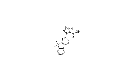 CC1(C)c2ccccc2-c2ccc(-c3nn[nH]c3C(=O)O)cc21